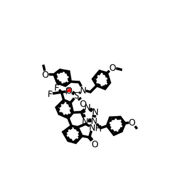 COc1ccc(CN(Cc2ccc(OC)cc2)S(=O)(=O)c2c(C(F)(F)F)ccc(-c3cccc4c3CNC4=O)c2-c2nnn(Cc3ccc(OC)cc3)n2)cc1